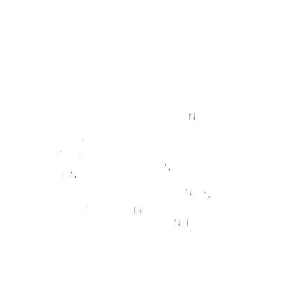 Nc1c(Br)c(-c2ccc3c(c2)C(=O)NS3(=O)=O)nc2c(-c3ccc(-c4ccccc4)nc3)cnn12